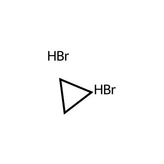 Br.Br.C1CC1